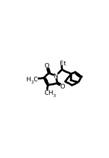 CCC(N1C(=O)C(C)=C(C)C1=O)C12C=CC(CC1)C2